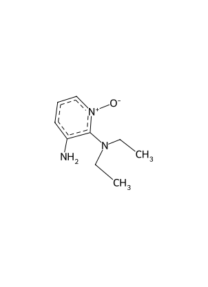 CCN(CC)c1c(N)ccc[n+]1[O-]